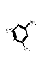 C.Cc1cccc(N)c1